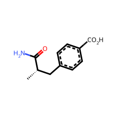 C[C@@H](Cc1ccc(C(=O)O)cc1)C(N)=O